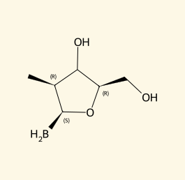 B[C@@H]1O[C@H](CO)C(O)[C@@H]1C